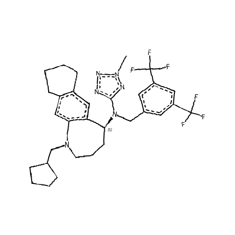 Cn1nnc(N(Cc2cc(C(F)(F)F)cc(C(F)(F)F)c2)[C@H]2CCCN(CC3CCCC3)c3cc4c(cc32)CCCC4)n1